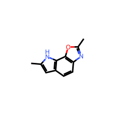 Cc1cc2ccc3nc(C)oc3c2[nH]1